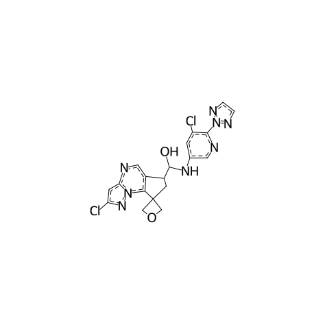 OC(Nc1cnc(-n2nccn2)c(Cl)c1)C1CC2(COC2)c2c1cnc1cc(Cl)nn21